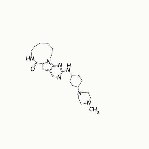 CN1CCN([C@H]2CC[C@@H](Nc3ncc4cc5n(c4n3)CCCCCCNC5=O)CC2)CC1